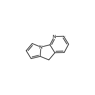 [c]1ccc2c(n1)-n1cccc1C2